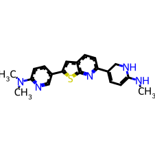 CNC1=CC=C(c2ccc3cc(-c4ccc(N(C)C)nc4)sc3n2)CN1